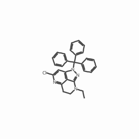 CCN1CCc2nc(Cl)cc3c2c1nn3C(c1ccccc1)(c1ccccc1)c1ccccc1